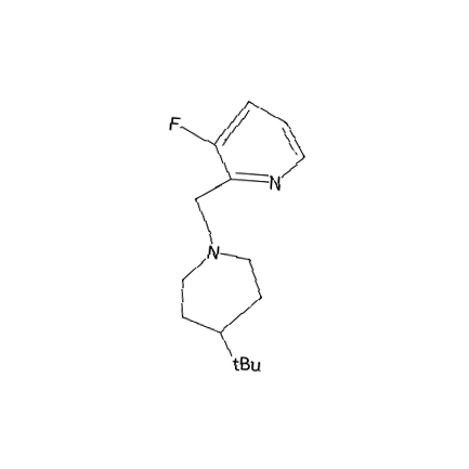 CC(C)(C)C1CCN(Cc2ncccc2F)CC1